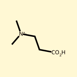 C[N+](C)CCC(=O)O